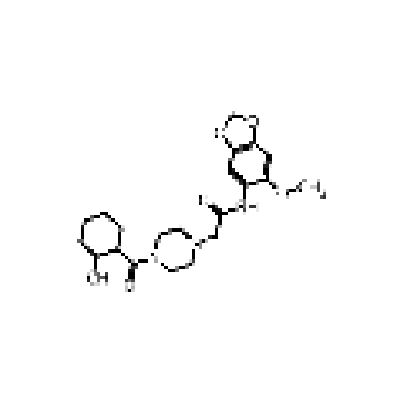 COc1cc2c(cc1NC(=O)CN1CCN(C(=O)C3CCCCC3C)CC1)OCO2